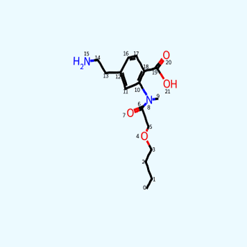 CCCCOCC(=O)N(C)c1cc(CCN)ccc1C(=O)O